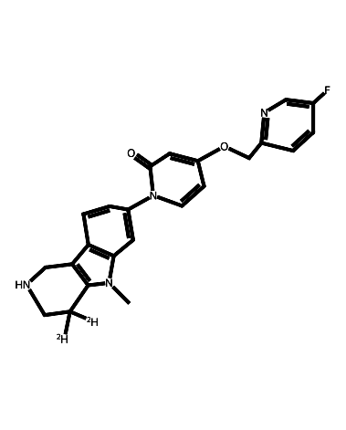 [2H]C1([2H])CNCc2c1n(C)c1cc(-n3ccc(OCc4ccc(F)cn4)cc3=O)ccc21